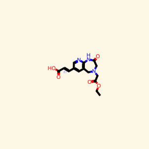 CCOC(=O)CN1CC(=O)Nc2ncc(/C=C/C(=O)O)cc2C1